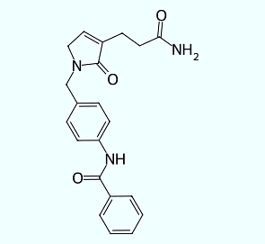 NC(=O)CCC1=CCN(Cc2ccc(NC(=O)c3ccccc3)cc2)C1=O